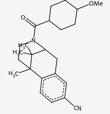 COC1CCC(C(=O)N2CCC3(C)c4ccc(C#N)cc4CC2C3(C)C)CC1